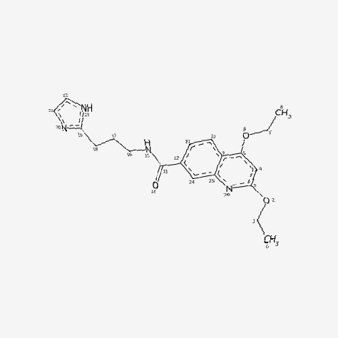 CCOc1cc(OCC)c2ccc(C(=O)NCCCc3ncc[nH]3)cc2n1